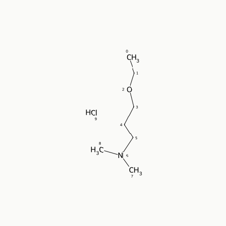 CCOCCCN(C)C.Cl